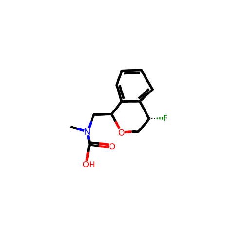 CN(CC1OC[C@@H](F)c2ccccc21)C(=O)O